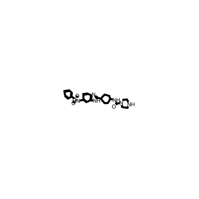 O=C(NC1CCC(c2nc3ccc(NS(=O)(=O)c4ccccc4)cc3[nH]2)CC1)N1CCNCC1